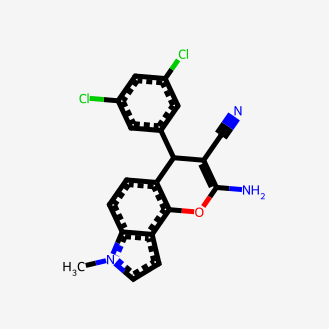 Cn1ccc2c3c(ccc21)C(c1cc(Cl)cc(Cl)c1)C(C#N)=C(N)O3